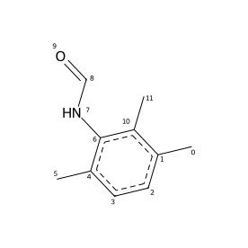 Cc1ccc(C)c(NC=O)c1C